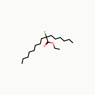 CCCCCCCCC(F)(CCCCCC)C(=O)OCC